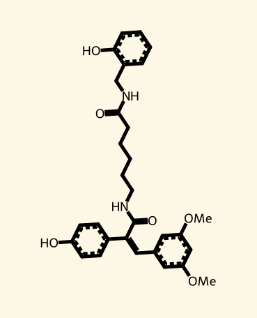 COc1cc(/C=C(\C(=O)NCCCCCC(=O)NCc2ccccc2O)c2ccc(O)cc2)cc(OC)c1